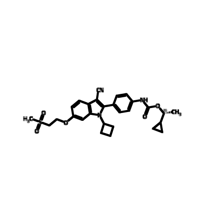 C[C@@H](OC(=O)Nc1ccc(-c2c(C#N)c3ccc(OCCS(C)(=O)=O)cc3n2C2CCC2)cc1)C1CC1